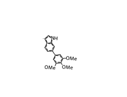 COc1cc(-c2ccc3[c]c[nH]c3c2)cc(OC)c1OC